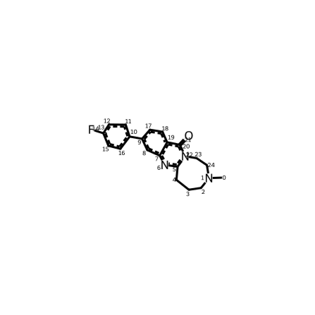 CN1CCCc2nc3cc(-c4ccc(F)cc4)ccc3c(=O)n2CC1